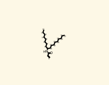 C=CC(=O)NC(CCCCCCCC)CCCCCCCCC